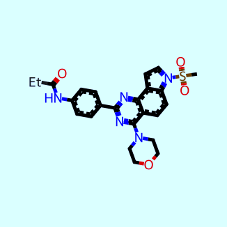 CCC(=O)Nc1ccc(-c2nc(N3CCOCC3)c3ccc4c(ccn4S(C)(=O)=O)c3n2)cc1